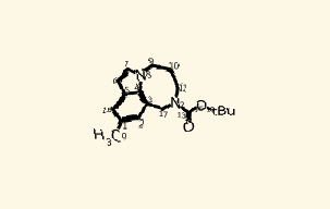 Cc1cc2c3c(ccn3CCCN(C(=O)OC(C)(C)C)C2)c1